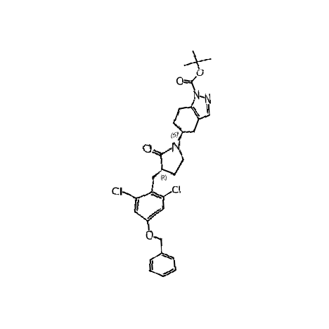 CC(C)(C)OC(=O)n1ncc2c1CC[C@H](N1CC[C@@H](Cc3c(Cl)cc(OCc4ccccc4)cc3Cl)C1=O)C2